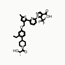 CCc1cc(OCc2cc(C)sc2-c2cccc(-n3ncc(C(=O)O)c3C(F)(F)F)n2)ccc1C1CCN(C(=O)[C@H](C)O)CC1